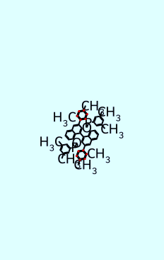 Cc1cc(C)cc(P(Oc2c(-c3ccccc3)cc3ccccc3c2-c2c(OP(c3cc(C)cc(C)c3)c3cc(C)cc(C)c3)c(-c3ccccc3)cc3ccccc23)c2cc(C)cc(C)c2)c1